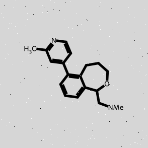 CNCC1OCCCc2c(-c3ccnc(C)c3)cccc21